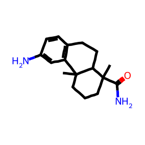 CC1(C(N)=O)CCCC2(C)c3cc(N)ccc3CCC12